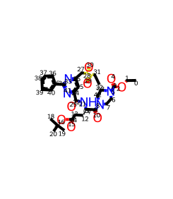 CCOC(=O)N1CCN(C(=O)[C@H](CCC(=O)OC(C)(C)C)NC(=O)c2cc(CS(=O)(=O)CC)nc(-c3ccccc3)n2)CC1